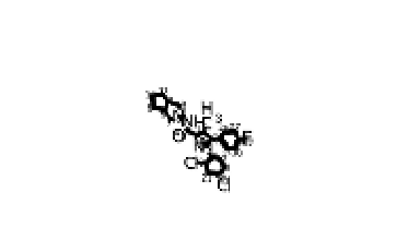 C[C@@H]1C(C(=O)NN2CC3CCCC3C2)=NN(c2ccc(Cl)cc2Cl)[C@@H]1c1ccc(F)cc1